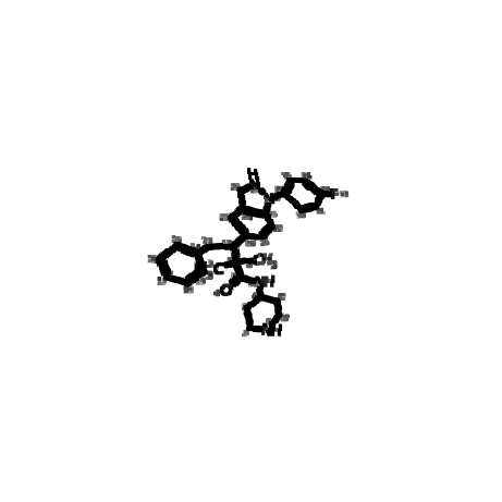 CC(C)(C(=O)NC1CCNCC1)C(Cc1ccccc1)c1ccc2c(c1)CNN2c1ccc(F)cc1